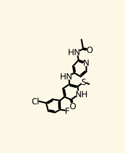 CSc1[nH]c(=O)c(-c2cc(Cl)ccc2F)cc1Nc1ccnc(NC(C)=O)c1